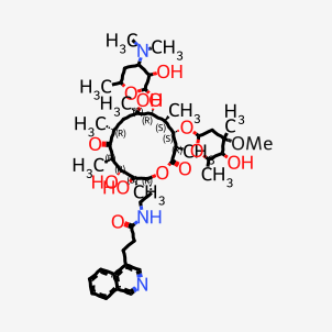 COC1(C)CC(O[C@H]2[C@H](C)[C@@H](OC3OC(C)CC(N(C)C)C3O)[C@](C)(O)C[C@@H](C)C(=O)[C@H](C)[C@@H](O)[C@](C)(O)[C@@H](CCNC(=O)CCc3cncc4ccccc34)OC(=O)[C@@H]2C)OC(C)C1O